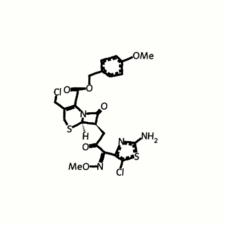 CO/N=C(\C(=O)C[C@@H]1C(=O)N2C(C(=O)OCc3ccc(OC)cc3)=C(CCl)CS[C@H]12)c1nc(N)sc1Cl